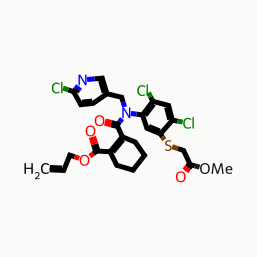 C=CCOC(=O)C1=C(C(=O)N(Cc2ccc(Cl)nc2)c2cc(SCC(=O)OC)c(Cl)cc2Cl)CCCC1